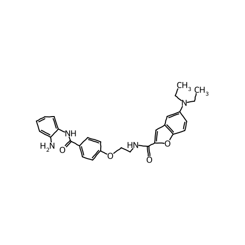 CCN(CC)c1ccc2oc(C(=O)NCCOc3ccc(C(=O)Nc4ccccc4N)cc3)cc2c1